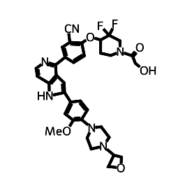 COc1cc(-c2cc3c(-c4ccc(OC5CCN(C(=O)CO)CC5(F)F)c(C#N)c4)nccc3[nH]2)ccc1N1CCN(C2COC2)CC1